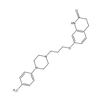 Cc1ccc(N2CCN(CCCOc3ccc4c(c3)NC(=O)CC4)CC2)cc1